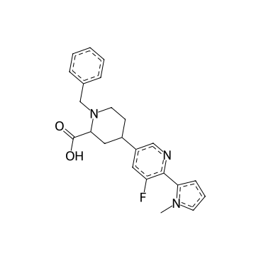 Cn1cccc1-c1ncc(C2CCN(Cc3ccccc3)C(C(=O)O)C2)cc1F